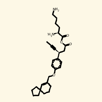 CC#C[C@@H](CC(=O)OC(=O)[C@@H](N)CCCCN)c1ccc(OCC2=CC3(CCCC3)CCC2)cc1